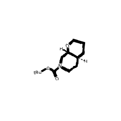 CC(C)(C)OC(=O)N1CC[C@@H]2CCCO[C@H]2C1